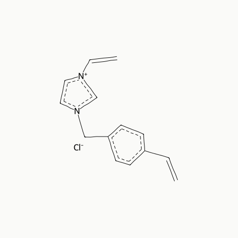 C=Cc1ccc(Cn2cc[n+](C=C)c2)cc1.[Cl-]